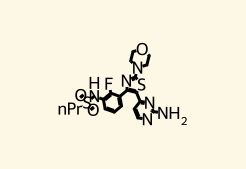 CCCS(=O)(=O)Nc1cccc(-c2nc(N3CCOCC3)sc2-c2ccnc(N)n2)c1F